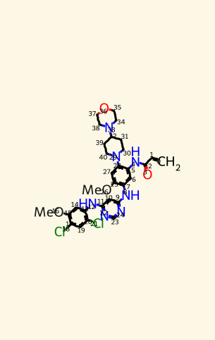 C=CC(=O)Nc1cc(Nc2cc(Nc3cc(OC)c(Cl)cc3Cl)ncn2)c(OC)cc1N1CCC(N2CCOCC2)CC1